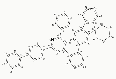 c1ccc(-c2nc(-c3ccc(-c4cccnc4)cc3)cc(-c3ccccc3-c3ccc4c(c3)C3(CCCCC3)c3ccccc3-4)n2)cc1